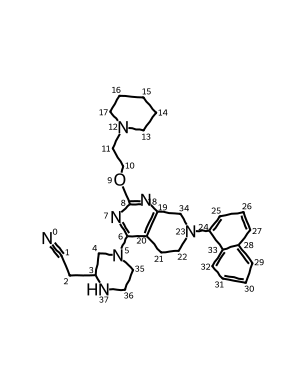 N#CCC1CN(c2nc(OCCN3CCCCC3)nc3c2CCN(c2cccc4ccccc24)C3)CCN1